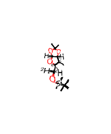 [2H]C([2H])(O[Si](C)(C)C(C)(C)C)[C@H]1O[C@@H]2OC(C)(C)O[C@@H]2[C@H]1C